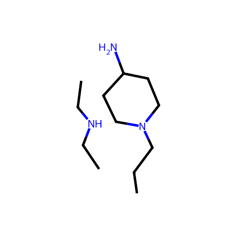 CCCN1CCC(N)CC1.CCNCC